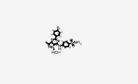 Cc1nn(C)c2c(Nc3ccc(S(N)(=O)=O)cc3)nc(-c3ccc(F)cc3)nc12.Cl